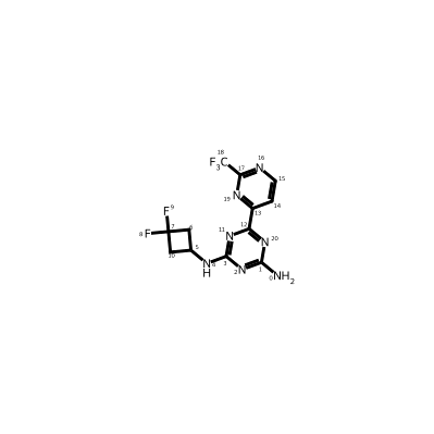 Nc1nc(NC2CC(F)(F)C2)nc(-c2ccnc(C(F)(F)F)n2)n1